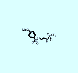 COc1ccc(S(=O)(=O)OCCNS(=O)(=O)C(F)(F)F)cc1